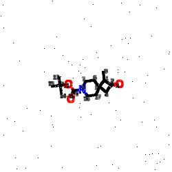 CC1C(=O)CC12CCN(C(=O)OC(C)(C)C)CC2